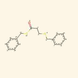 O=C(CCSCc1ccccc1)SCc1ccccc1